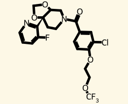 O=C(c1ccc(OCCOC(F)(F)F)c(Cl)c1)N1CC[C@]2(c3ncccc3F)OCOC2C1